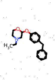 CCN1CCOC(Oc2ccc(Cc3ccccc3)cc2)C1